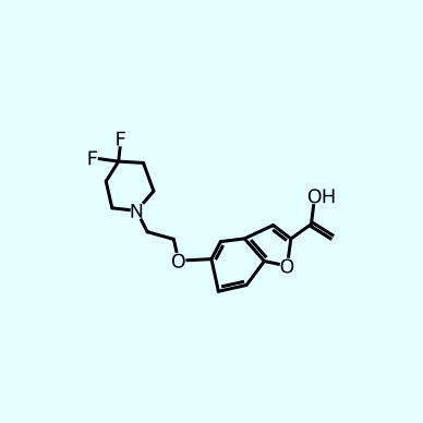 C=C(O)c1cc2cc(OCCN3CCC(F)(F)CC3)ccc2o1